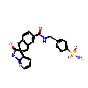 NS(=O)(=O)c1ccc(CNC(=O)c2ccc3c(c2)CC2(C3)C(=O)Nc3ncccc32)cc1